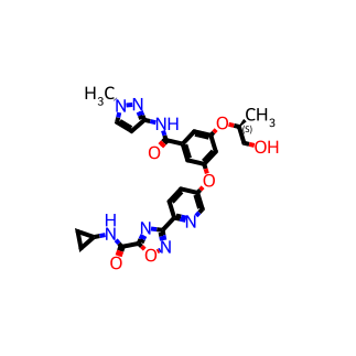 C[C@@H](CO)Oc1cc(Oc2ccc(-c3noc(C(=O)NC4CC4)n3)nc2)cc(C(=O)Nc2ccn(C)n2)c1